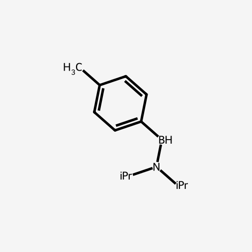 Cc1ccc(BN(C(C)C)C(C)C)cc1